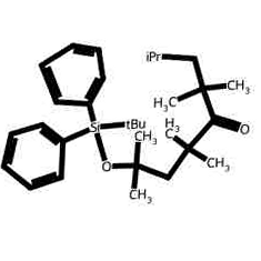 CC(C)CC(C)(C)C(=O)C(C)(C)CC(C)(C)O[Si](c1ccccc1)(c1ccccc1)C(C)(C)C